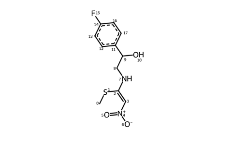 CSC(=C[N+](=O)[O-])NCC(O)c1ccc(F)cc1